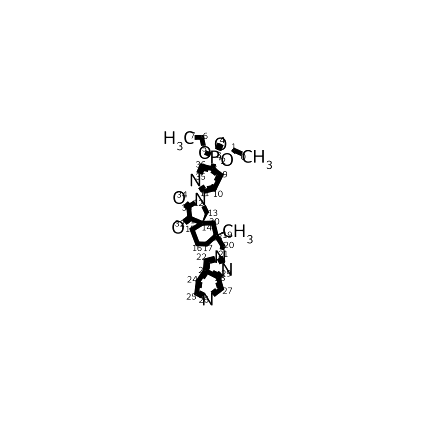 CCOP(=O)(OCC)c1ccc(N2C[C@@]3(CCC[C@](C)(Cn4cc5ccncc5n4)C3)C(=O)C2=O)nc1